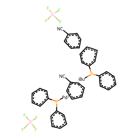 CCC(C)P(c1ccccc1)c1ccccc1.F[B-](F)(F)F.F[B-](F)(F)F.N#Cc1ccccc1.N#Cc1ccccc1.[Pd+2][P](c1ccccc1)c1ccccc1